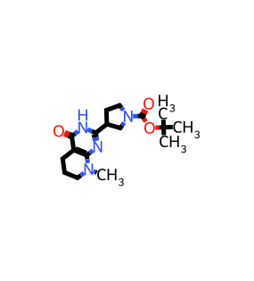 CN1CCCc2c1nc(C1CCN(C(=O)OC(C)(C)C)C1)[nH]c2=O